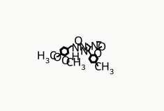 COc1ccc(CNC(=O)N2CC(N3CCOC3=O)C(c3ccc(C)cc3)=N2)cc1OC